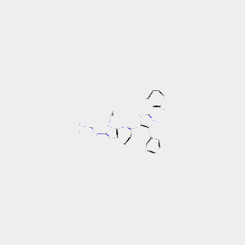 CC(C)Cn1c(N=CN(C)C)nc2ccc(-c3[nH]c(-c4c(F)cccc4F)nc3-c3ccccc3)nc21